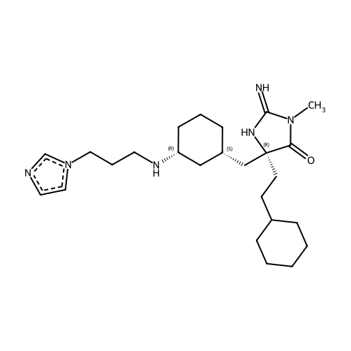 CN1C(=N)N[C@](CCC2CCCCC2)(C[C@H]2CCC[C@@H](NCCCn3ccnc3)C2)C1=O